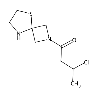 CC(Cl)CC(=O)N1CC2(C1)NCCS2